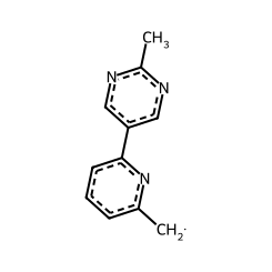 [CH2]c1cccc(-c2cnc(C)nc2)n1